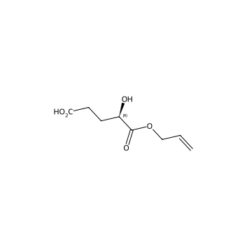 C=CCOC(=O)[C@H](O)CCC(=O)O